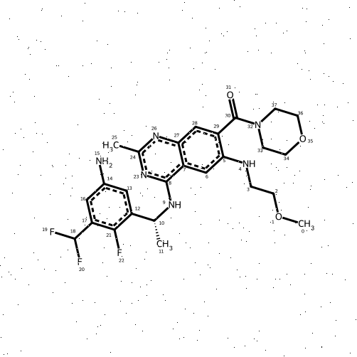 COCCNc1cc2c(N[C@H](C)c3cc(N)cc(C(F)F)c3F)nc(C)nc2cc1C(=O)N1CCOCC1